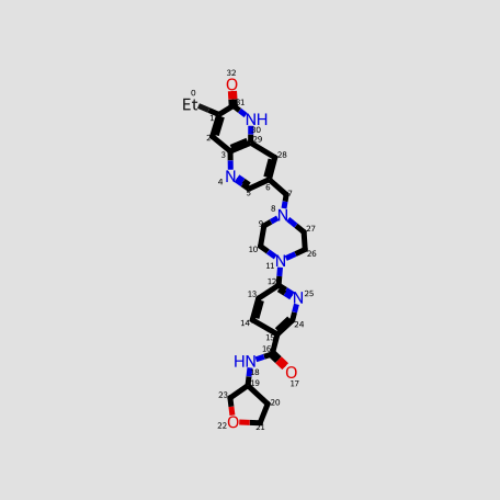 CCc1cc2ncc(CN3CCN(c4ccc(C(=O)NC5CCOC5)cn4)CC3)cc2[nH]c1=O